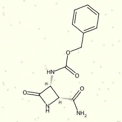 NC(=O)[C@@H]1NC(=O)[C@@H]1NC(=O)OCc1ccccc1